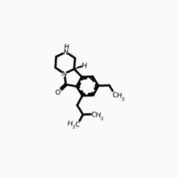 CCc1cc(CC(C)C)c2c(c1)[C@H]1CNCCN1C2=O